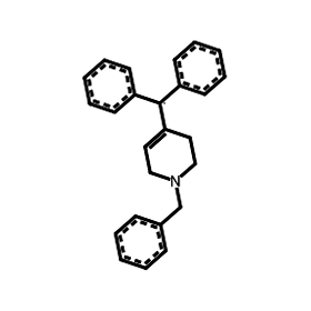 C1=C([C](c2ccccc2)c2ccccc2)CCN(Cc2ccccc2)C1